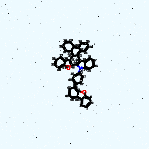 c1ccc2c(c1)oc1c(-c3ccc(-n4c5ccccc5c5c6c7ccccc7c7ccccc7c6c6c7ccccc7oc6c54)cc3)cccc12